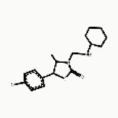 CC1C(c2ccc(Cl)cc2)SC(=O)N1CNC1CCCCC1